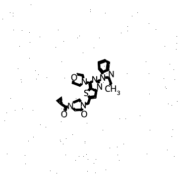 CCc1nc2ccccc2n1-c1nc(N2CCOCC2)c2sc(CN3CCN(C(=O)C4CC4)CC3=O)cc2n1